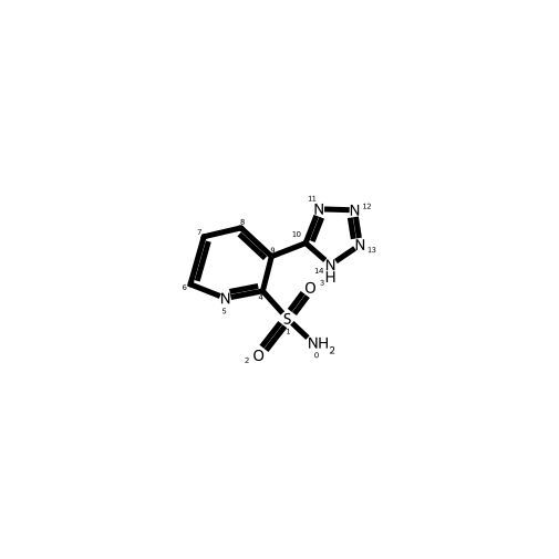 NS(=O)(=O)c1ncccc1-c1nnn[nH]1